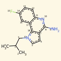 CC(C)Cn1ccc2c(N)nc3ccc(F)cc3c21